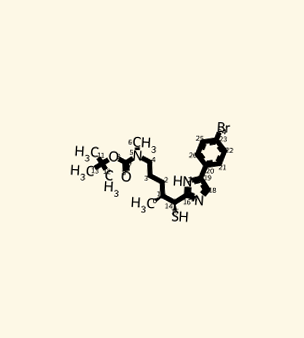 C[C@@H](CCCN(C)C(=O)OC(C)(C)C)[C@H](S)c1ncc(-c2ccc(Br)cc2)[nH]1